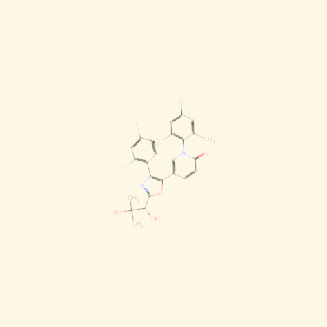 Cc1cc(Cl)cc(C)c1-n1cc(-c2oc([C@@H](O)C(C)(C)O)nc2-c2ccc(F)cc2F)ccc1=O